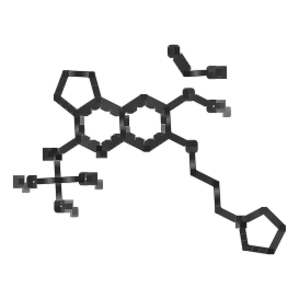 COc1cc2c3c(c(NC(C)(C)C)nc2cc1OCCCN1CCCC1)CCC3.O=CO